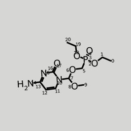 CCOP(=O)(COC(OC)n1ccc(N)nc1=O)OCC